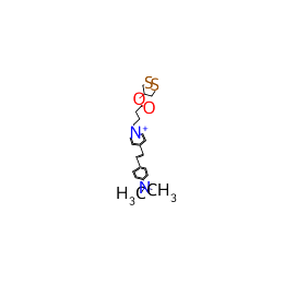 CN(C)c1ccc(/C=C/c2cc[n+](CCCC(=O)OC3CCSSC3)cc2)cc1